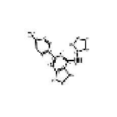 Clc1ccc(-c2nc3c(c(NC4CCCC4)n2)CCC3)cc1